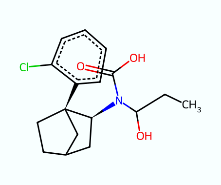 CCC(O)N(C(=O)O)[C@H]1CC2CC[C@@]1(c1ccccc1Cl)C2